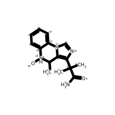 CC1c2c(C(C)(C)C(N)=O)ncn2-c2ccccc2[NH+]1[O-]